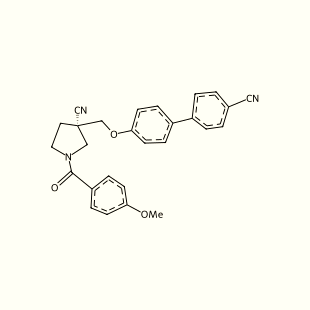 COc1ccc(C(=O)N2CC[C@@](C#N)(COc3ccc(-c4ccc(C#N)cc4)cc3)C2)cc1